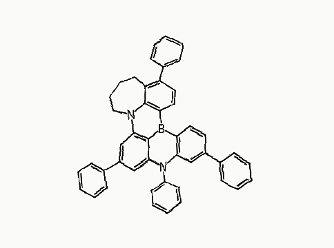 c1ccc(-c2ccc3c(c2)N(c2ccccc2)c2cc(-c4ccccc4)cc4c2B3c2ccc(-c3ccccc3)c3c2N4CCCC3)cc1